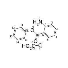 Nc1ccccc1C(=O)Oc1ccccc1.O=C(O)Cl